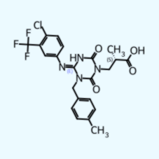 Cc1ccc(Cn2c(=O)n(C[C@H](C)C(=O)O)c(=O)[nH]/c2=N\c2ccc(Cl)c(C(F)(F)F)c2)cc1